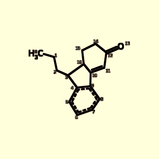 CCCC1c2ccccc2C2=CC(=O)CCC21